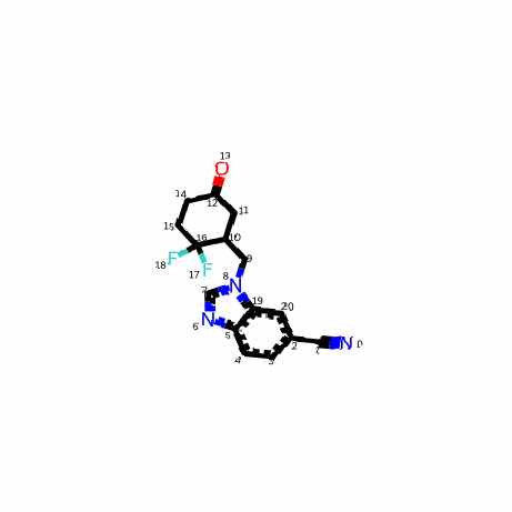 N#Cc1ccc2ncn(CC3CC(=O)CCC3(F)F)c2c1